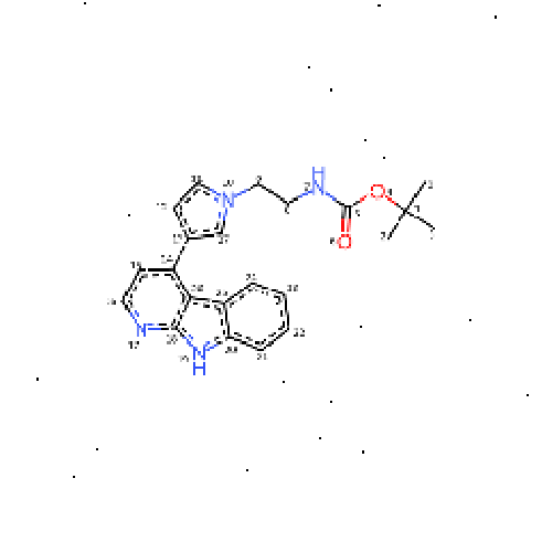 CC(C)(C)OC(=O)NCCn1ccc(-c2ccnc3[nH]c4ccccc4c23)c1